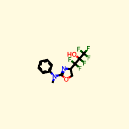 CN(C1=NC(C(F)(F)C(O)(F)C(F)(F)F)CO1)c1ccccc1